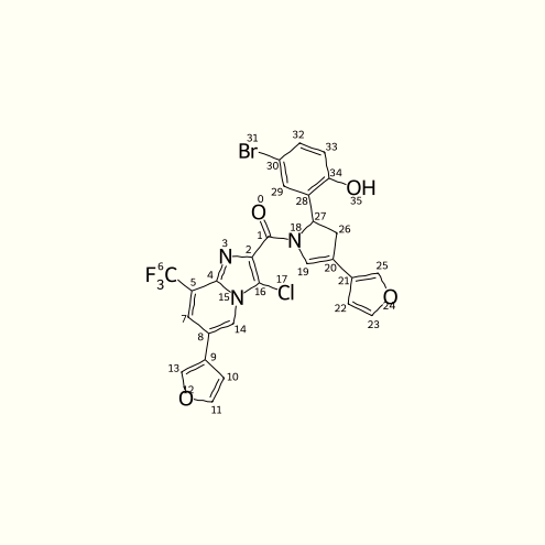 O=C(c1nc2c(C(F)(F)F)cc(-c3ccoc3)cn2c1Cl)N1C=C(c2ccoc2)CC1c1cc(Br)ccc1O